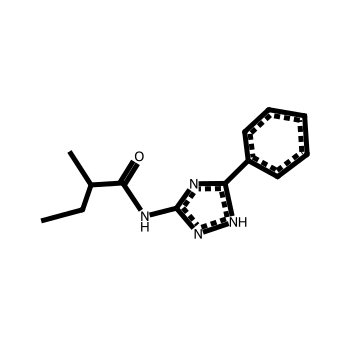 CCC(C)C(=O)Nc1n[nH]c(-c2ccccc2)n1